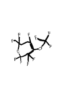 FC1=C(OC(F)(F)F)C(F)(F)C(F)(F)OC1(F)F